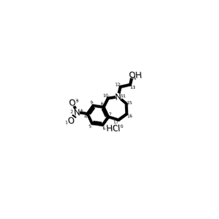 Cl.O=[N+]([O-])c1ccc2c(c1)CN(CCO)CCC2